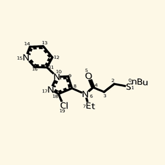 CCCCSCCC(=O)N(CC)c1cn(-c2cccnc2)nc1Cl